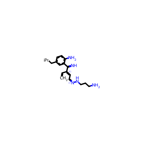 C=C/C(=C\C=N/NCCCN)C(=N)c1cc(CC(C)C)ccc1N